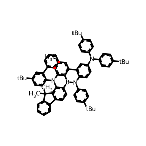 Cc1cc2c3c(c1)N(c1ccc(C(C)(C)C)cc1-c1ccccc1)c1c(ccc4c1C(C)(C)c1ccccc1-4)B3N(c1ccc(C(C)(C)C)cc1)c1ccc(N(c3ccc(C(C)(C)C)cc3)c3ccc(C(C)(C)C)cc3)cc1-2